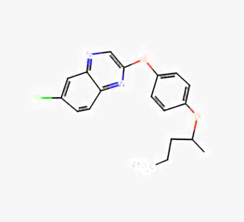 CCOC(=O)CCC(C)Oc1ccc(Oc2cnc3cc(Cl)ccc3n2)cc1